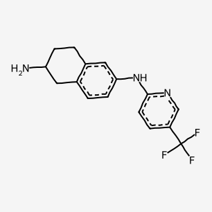 NC1CCc2cc(Nc3ccc(C(F)(F)F)cn3)ccc2C1